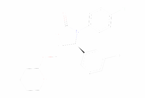 O=C1O[C@@H](COC2CCCCO2)[C@H](c2cccc(C(F)(F)F)c2)N1c1ccc(Cl)cc1